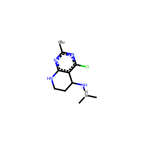 C[SiH](C)NC1CCNc2nc(C(C)(C)C)nc(Cl)c21